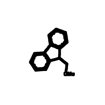 [C]OCC1c2ccccc2-c2ccccc21